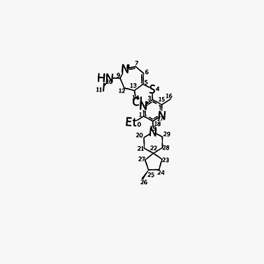 CCc1nc(SC2=CC=NC(NI)CC2Cl)c(C)nc1N1CCC2(CC[C@@H](C)C2)CC1